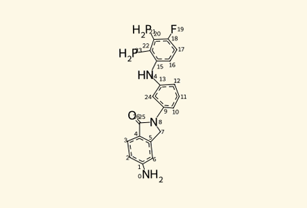 Nc1ccc2c(c1)CN(c1cccc(Nc3ccc(F)c(P)c3P)c1)C2=O